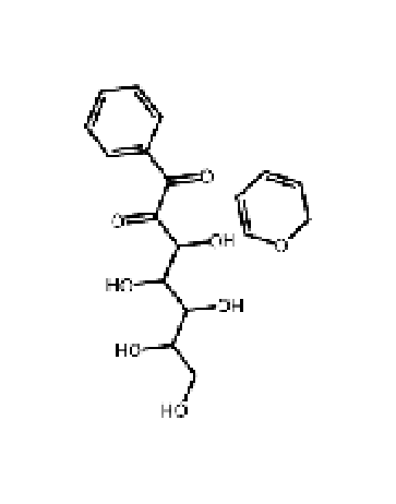 C1=CCOC=C1.O=C(C(=O)C(O)C(O)C(O)C(O)CO)c1ccccc1